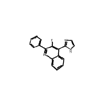 Fc1c(-c2ccccc2)nc2ccccc2c1-c1ncc[nH]1